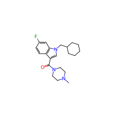 CN1CCN(C(=O)c2cn(CC3CCCCC3)c3cc(F)ccc23)CC1